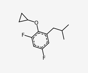 CC(C)Cc1cc(F)cc(F)c1OC1CC1